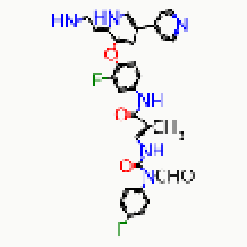 C/C(=C\NC(=O)N(C=O)c1ccc(F)cc1)C(=O)Nc1ccc(OC2=CC(c3ccncc3)=CN/C2=C\C=N)c(F)c1